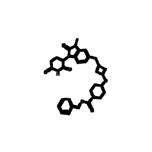 Cn1c(=O)n(C2CCC(=O)NC2=O)c2ccc(CN3CC(OC4CCN(C(=O)OCc5ccccc5)CC4)C3)cc21